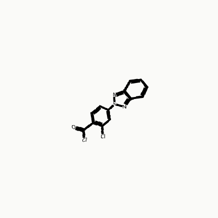 O=C(Cl)c1ccc(-n2nc3ccccc3n2)cc1Cl